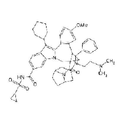 COc1ccc2c(c1)C1CC1(C(=O)N1C3CCC1CC(N(CCN(C)C)Cc1ccccc1)C3)Cn1c-2c(C2CCCCC2)c2ccc(C(=O)NS(=O)(=O)C3CC3)cc21